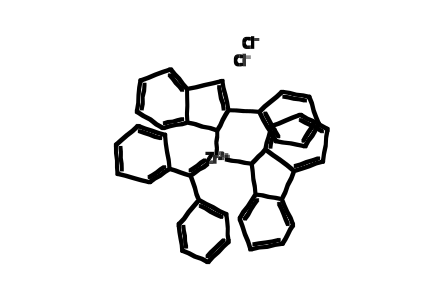 C1=C(c2ccccc2)[CH]([Zr+2](=[C](c2ccccc2)c2ccccc2)[CH]2c3ccccc3-c3ccccc32)c2ccccc21.[Cl-].[Cl-]